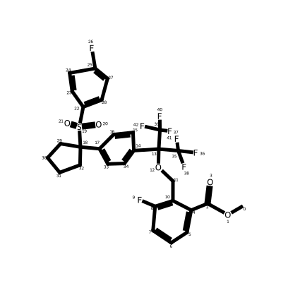 COC(=O)c1cccc(F)c1COC(c1ccc(C2(S(=O)(=O)c3ccc(F)cc3)CCCC2)cc1)(C(F)(F)F)C(F)(F)F